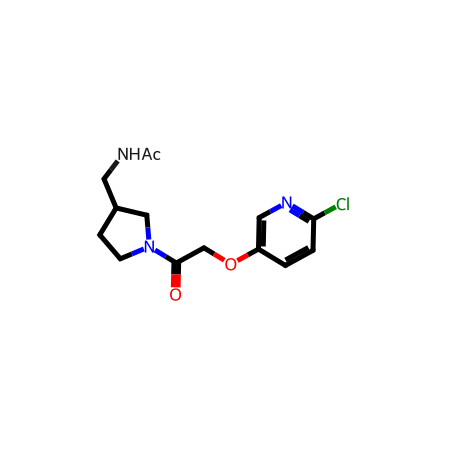 CC(=O)NCC1CCN(C(=O)COc2ccc(Cl)nc2)C1